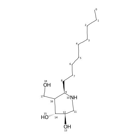 CCCCCCCCC[C@H]1NC[C@@H](O)[C@H](O)C1CO